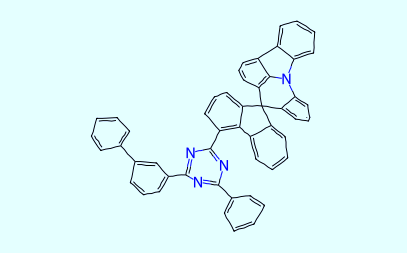 c1ccc(-c2cccc(-c3nc(-c4ccccc4)nc(-c4cccc5c4-c4ccccc4C54c5ccccc5-n5c6ccccc6c6cccc4c65)n3)c2)cc1